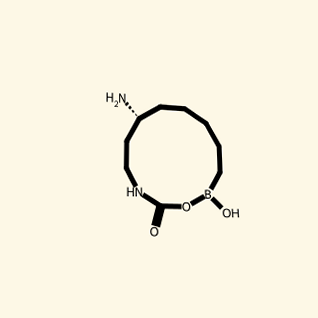 N[C@@H]1CCCCCB(O)OC(=O)NCC1